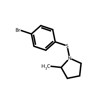 CC1CCCN1Sc1ccc(Br)cc1